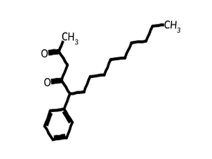 CCCCCCCCCC(C(=O)CC(C)=O)c1ccccc1